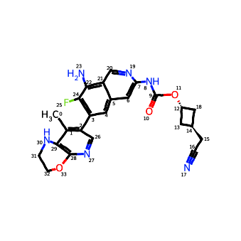 Cc1c(-c2cc3cc(NC(=O)O[C@H]4C[C@H](CC#N)C4)ncc3c(N)c2F)cnc2c1NCCO2